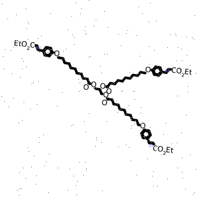 CCOC(=O)/C=C/c1ccc(OCCCCCCCCCCC(=O)OCC(COC(=O)CCCCCCCCCCOc2ccc(/C=C/C(=O)OCC)cc2)OC(=O)CCCCCCCCCCOc2ccc(/C=C/C(=O)OCC)cc2)cc1